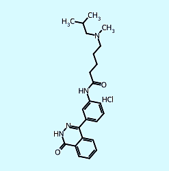 CC(C)CN(C)CCCCC(=O)Nc1cccc(-c2n[nH]c(=O)c3ccccc23)c1.Cl